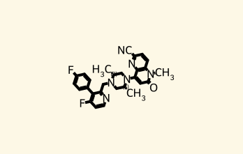 C[C@@H]1CN(c2cc(=O)n(C)c3ccc(C#N)nc23)[C@@H](C)CN1Cc1nccc(F)c1-c1ccc(F)cc1